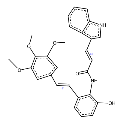 COc1cc(/C=C/c2cccc(O)c2NC(=O)/C=C/c2c[nH]c3ccccc23)cc(OC)c1OC